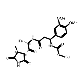 COc1ccc(C(CC(=O)N[C@H](C(=O)[C@@H]2C(=O)NC(=O)[C@H]2C)C(C)C)NC(=O)OC(C)(C)C)cc1OC